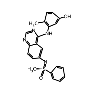 Cc1ccc(O)cc1Nc1ncnc2ccc(N=[S@@](C)(=O)c3ccccc3)cc12